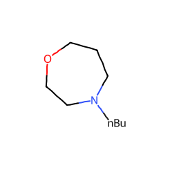 CCCCN1CCCOCC1